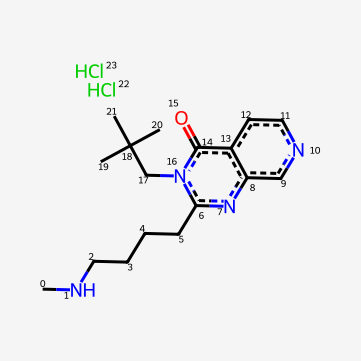 CNCCCCc1nc2cnccc2c(=O)n1CC(C)(C)C.Cl.Cl